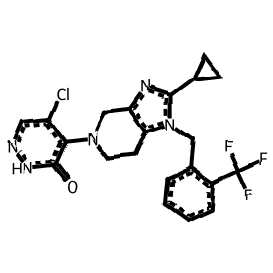 O=c1[nH]ncc(Cl)c1N1CCc2c(nc(C3CC3)n2Cc2ccccc2C(F)(F)F)C1